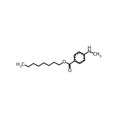 CCCCCCCCOC(=O)c1ccc(NC)cc1